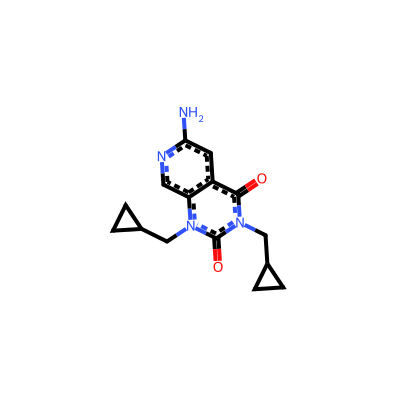 Nc1cc2c(=O)n(CC3CC3)c(=O)n(CC3CC3)c2cn1